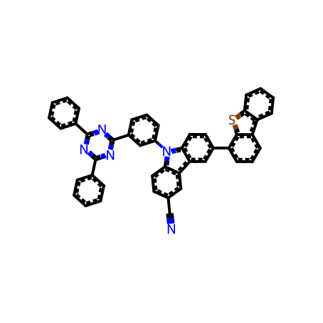 N#Cc1ccc2c(c1)c1cc(-c3cccc4c3sc3ccccc34)ccc1n2-c1cccc(-c2nc(-c3ccccc3)nc(-c3ccccc3)n2)c1